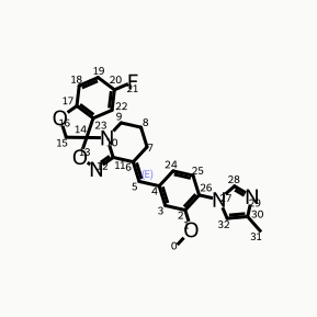 COc1cc(/C=C2\CCCN3C2=NOC32COc3ccc(F)cc32)ccc1-n1cnc(C)c1